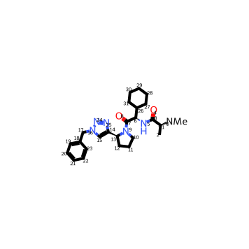 CN[C@@H](C)C(=O)N[C@H](C(=O)N1CCC[C@H]1c1cn(Cc2ccccc2)nn1)C1CCCCC1